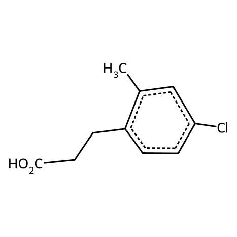 Cc1cc(Cl)ccc1CCC(=O)O